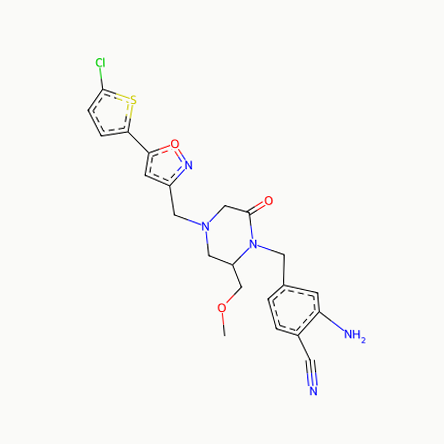 COCC1CN(Cc2cc(-c3ccc(Cl)s3)on2)CC(=O)N1Cc1ccc(C#N)c(N)c1